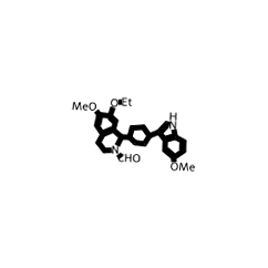 CCOc1cc2c(cc1OC)CCN(C=O)C2C1CCC(c2c[nH]c3ccc(OC)cc23)CC1